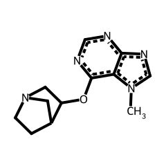 Cn1cnc2ncnc(OC3CN4CCC3C4)c21